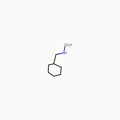 O=C(O)NC[C]1CCCCC1